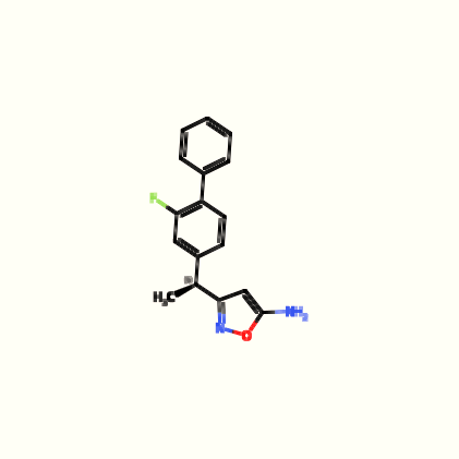 C[C@@H](c1ccc(-c2ccccc2)c(F)c1)c1cc(N)on1